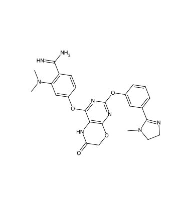 CN1CCN=C1c1cccc(Oc2nc3c(c(Oc4ccc(C(=N)N)c(N(C)C)c4)n2)NC(=O)CO3)c1